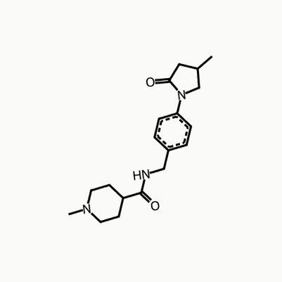 CC1CC(=O)N(c2ccc(CNC(=O)C3CCN(C)CC3)cc2)C1